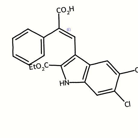 CCOC(=O)c1[nH]c2cc(Cl)c(Cl)cc2c1/C=C(/C(=O)O)c1ccccc1